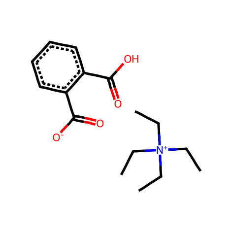 CC[N+](CC)(CC)CC.O=C([O-])c1ccccc1C(=O)O